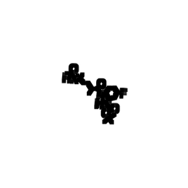 CC(=O)N/C(C)=C/C=C(\C)C(=O)Nc1ccc(F)cc1NC(=O)OC(C)(C)C